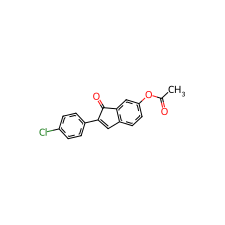 CC(=O)Oc1ccc2c(c1)C(=O)C(c1ccc(Cl)cc1)=C2